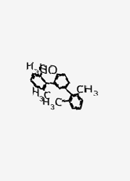 Cc1cccc(C)c1-c1ccc(O)c(-c2c(C)cccc2C)c1